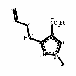 C=CCNc1nn(C)cc1C(=O)OCC